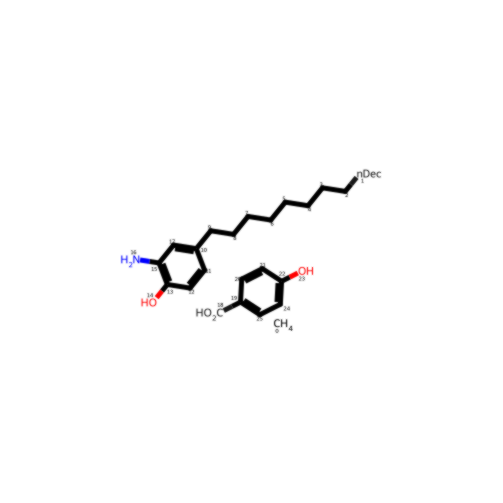 C.CCCCCCCCCCCCCCCCCCc1ccc(O)c(N)c1.O=C(O)c1ccc(O)cc1